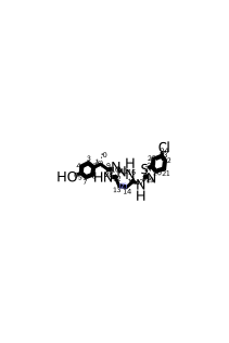 C[C@@H](c1ccc(O)cc1)c1nnc(/C=C\C(=N)Nc2nc3ccc(Cl)cc3s2)[nH]1